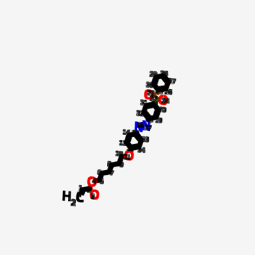 C=CC(=O)OCCCCCCOc1ccc(/N=N/c2ccc(S(=O)(=O)c3ccccc3)cc2)cc1